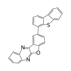 c1ccc2nc3c(nc2c1)oc1ccc(-c2cccc4c2sc2ccccc24)cc13